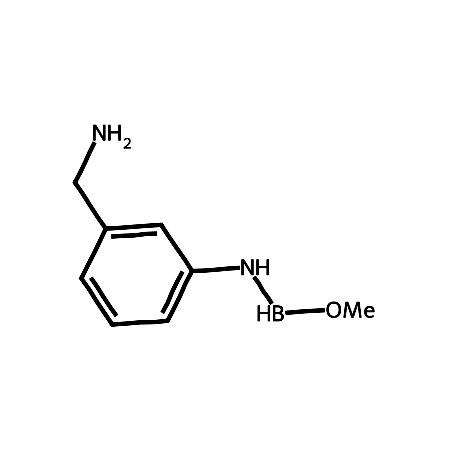 COBNc1cccc(CN)c1